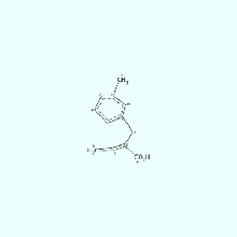 C=C=C(Cc1cccc(C)c1)C(=O)O